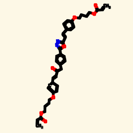 C=CC(=O)OCCCCOC1=CCC(/C=C/C(=O)Cc2ccc(-c3nnc(/C=C/c4ccc(OCCCCOC(=O)C=C)cc4)o3)cc2)C=C1